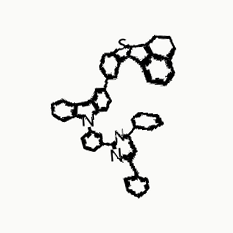 C1=c2cccc3c2=C(CC1)c1sc2ccc(-c4ccc5c(c4)c4ccccc4n5-c4cccc(-c5nc(-c6ccccc6)cc(-c6ccccc6)n5)c4)cc2c1-3